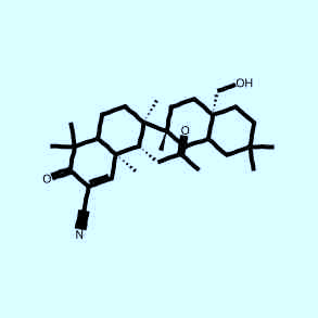 CC(=O)C[C@@H]1[C@@]2(C)C=C(C#N)C(=O)C(C)(C)C2CC[C@@]1(C)[C@]1(C)CC[C@@]2(CO)CCC(C)(C)CC2C1